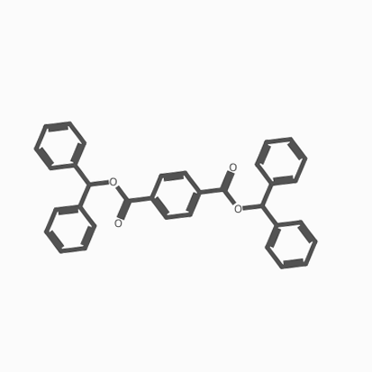 O=C(OC(c1ccccc1)c1ccccc1)c1ccc(C(=O)OC(c2ccccc2)c2ccccc2)cc1